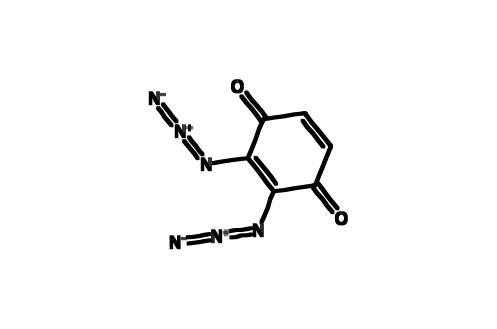 [N-]=[N+]=NC1=C(N=[N+]=[N-])C(=O)C=CC1=O